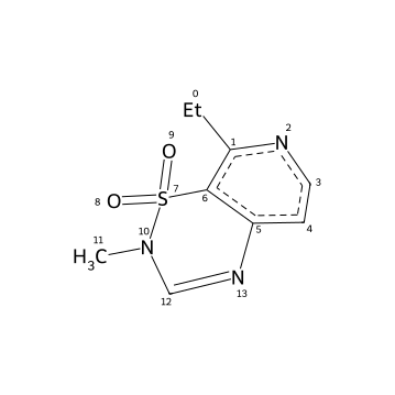 CCc1nccc2c1S(=O)(=O)N(C)C=N2